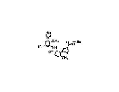 COc1c(NC(=O)c2ccc(C)c(-n3cc(C(=O)NCC(C)(C)C)nn3)c2)cc(C(C)(C)C)cc1-n1cnnc1